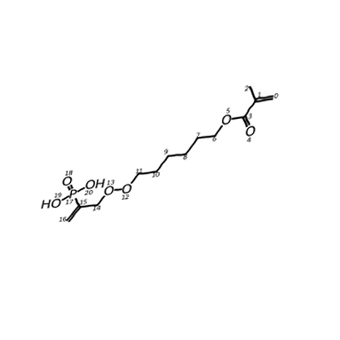 C=C(C)C(=O)OCCCCCCOOCC(=C)P(=O)(O)O